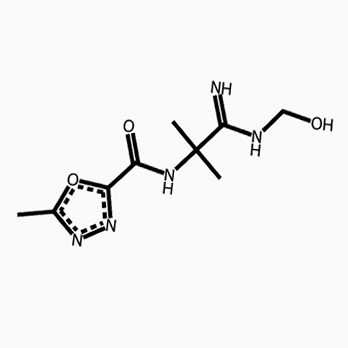 Cc1nnc(C(=O)NC(C)(C)C(=N)NCO)o1